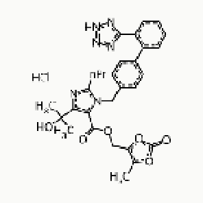 CCCc1nc(C(C)(C)O)c(C(=O)OCc2oc(=O)oc2C)n1Cc1ccc(-c2ccccc2-c2nn[nH]n2)cc1.Cl